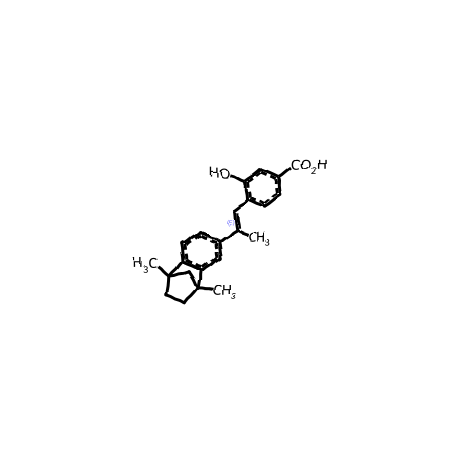 C/C(=C\c1ccc(C(=O)O)cc1O)c1ccc2c(c1)C1(C)CCC2(C)C1